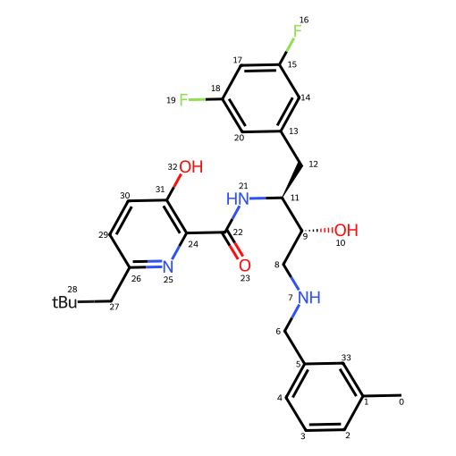 Cc1cccc(CNC[C@@H](O)[C@H](Cc2cc(F)cc(F)c2)NC(=O)c2nc(CC(C)(C)C)ccc2O)c1